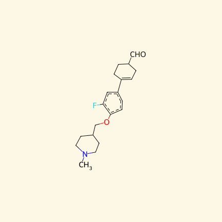 CN1CCC(COc2ccc(C3=CCC(C=O)CC3)cc2F)CC1